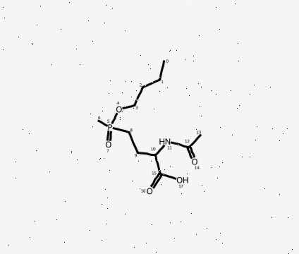 CCCCOP(C)(=O)CCC(NC(C)=O)C(=O)O